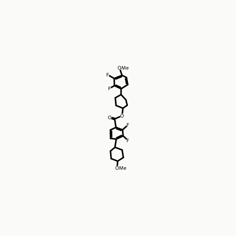 COc1ccc(C2CCC(OC(=O)c3ccc(C4CCC(OC)CC4)c(F)c3F)CC2)c(F)c1F